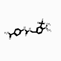 CN(C)c1ccc(CNC(=S)Nc2ccc(C(N)=O)cc2)cc1C(F)(F)F